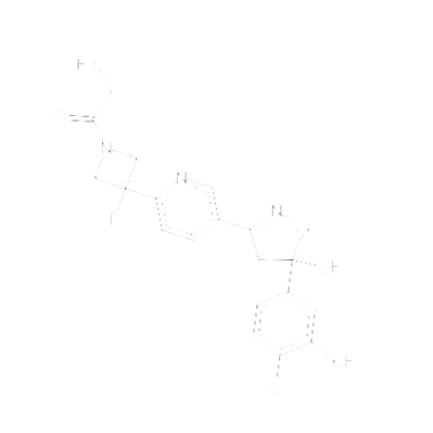 O=C(CC(F)(F)F)N1CC(F)(c2ccc(C3=NOC(c4ccc(Cl)c(C(F)(F)F)c4)(C(F)(F)F)C3)cn2)C1